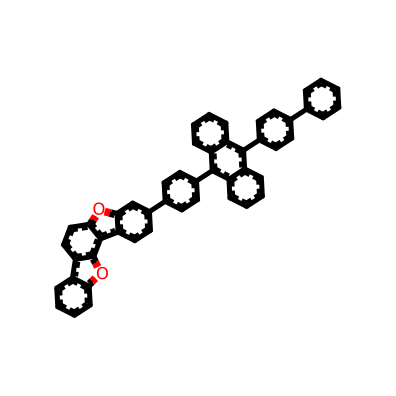 c1ccc(-c2ccc(-c3c4ccccc4c(-c4ccc(-c5ccc6c(c5)oc5ccc7c8ccccc8oc7c56)cc4)c4ccccc34)cc2)cc1